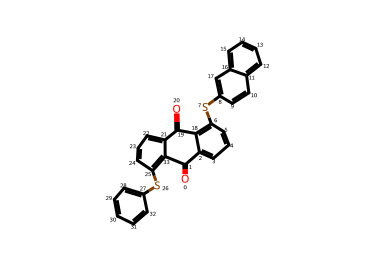 O=C1c2cccc(Sc3ccc4ccccc4c3)c2C(=O)c2cccc(Sc3ccccc3)c21